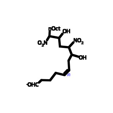 CCCCCCCCC(C(O)CC(C(O)C/C=C\CCC[C]=O)[N+](=O)[O-])[N+](=O)[O-]